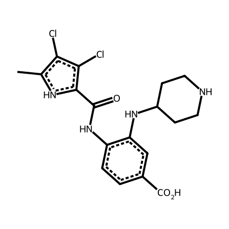 Cc1[nH]c(C(=O)Nc2ccc(C(=O)O)cc2NC2CCNCC2)c(Cl)c1Cl